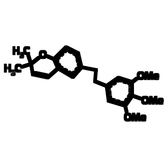 COc1cc(CCc2ccc3c(c2)C=CC(C)(C)O3)cc(OC)c1OC